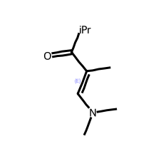 C/C(=C\N(C)C)C(=O)C(C)C